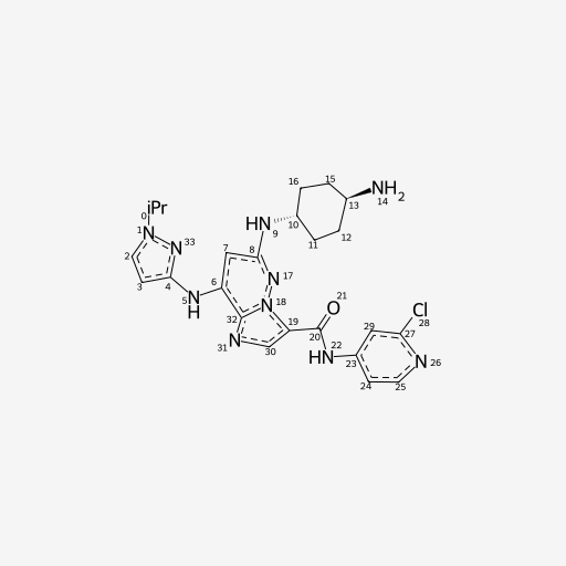 CC(C)n1ccc(Nc2cc(N[C@H]3CC[C@H](N)CC3)nn3c(C(=O)Nc4ccnc(Cl)c4)cnc23)n1